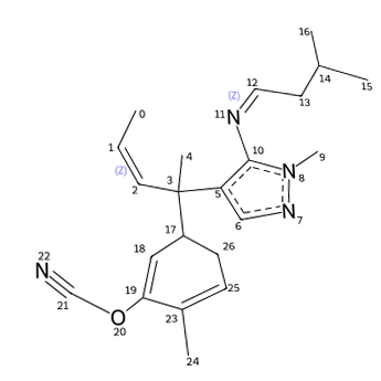 C/C=C\C(C)(c1cnn(C)c1/N=C\CC(C)C)C1C=C(OC#N)C(C)=CC1